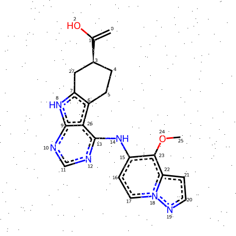 C=C(O)[C@H]1CCc2c([nH]c3ncnc(Nc4ccn5nccc5c4OC)c23)C1